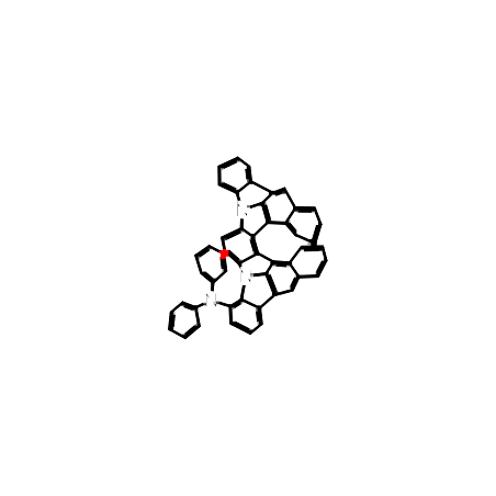 c1ccc(N(c2ccccc2)c2cccc3c4cc5ccccc5c5c6c7c8c9ccccc9cc9c%10ccccc%10n(c7ccc6n(c23)c45)c98)cc1